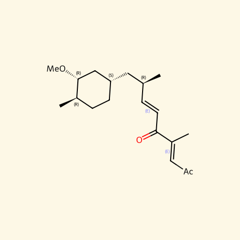 CO[C@@H]1C[C@H](C[C@@H](C)/C=C/C(=O)/C(C)=C/C(C)=O)CC[C@H]1C